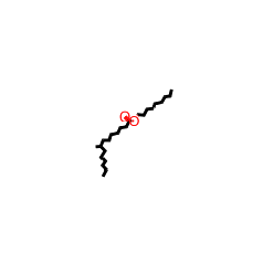 CCCCCCCCCOC(=O)CCCCCCC(C)CCCCCC